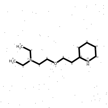 CCN(CC)CCOCCC1CCCCN1